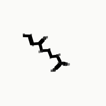 C/C=C/C(=O)OCCO[SH](=O)=O